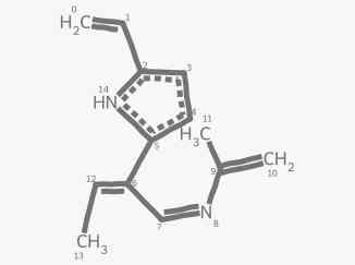 C=Cc1ccc(C(/C=N\C(=C)C)=C/C)[nH]1